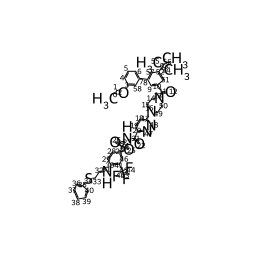 CCOc1cccc(-c2cc(C(=O)N3CCN(c4ccc(C(=O)NS(=O)(=O)c5ccc(NCCSc6ccccc6)c(C(F)(F)F)c5)nn4)CC3)cc(C(C)(C)C)c2)c1